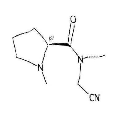 CN(CC#N)C(=O)[C@@H]1CCCN1C